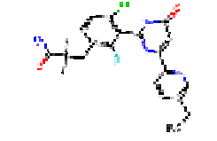 CC(C)(Cc1ccc(Cl)c(-c2nc(-c3ccc(CC(F)(F)F)cn3)cc(=O)[nH]2)c1F)C(N)=O